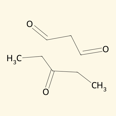 CCC(=O)CC.O=CCC=O